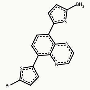 Bc1ccc(-c2ccc(-c3ccc(Br)s3)c3nccnc23)s1